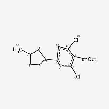 CCCCCCCCc1c(Cl)cc(C2CCC(C)C2)cc1Cl